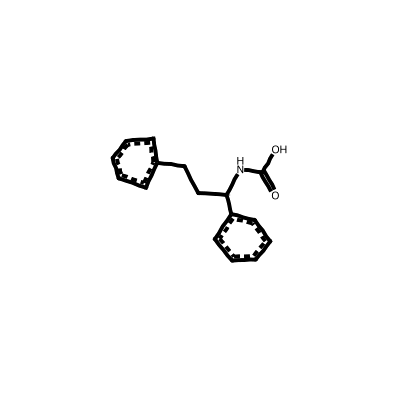 O=C(O)N[C](CCc1ccccc1)c1ccccc1